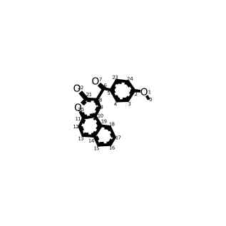 COc1ccc(C(=O)c2cc3c(ccc4ccccc43)oc2=O)cc1